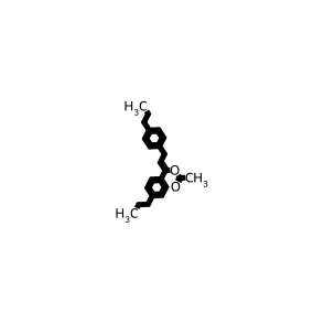 CCCc1ccc(CC=C(OC(C)=O)c2ccc(CCC)cc2)cc1